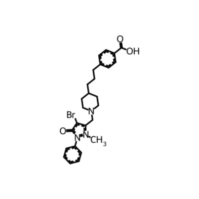 Cn1c(CN2CCC(CCCc3ccc(C(=O)O)cc3)CC2)c(Br)c(=O)n1-c1ccccc1